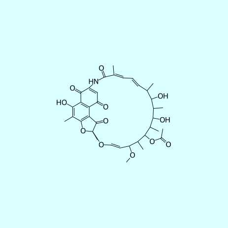 COC1/C=C/OC2(C)Oc3c(C)c(O)c4c(c3C2=O)C(=O)C=C(NC(=O)/C(C)=C/C=C/C(C)C(O)C(C)C(O)C(C)C(OC(C)=O)C1C)C4=O